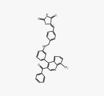 O=C1NC(=O)/C(=C/c2ccc(CNc3cccc(-c4c(C(=O)c5ccccc5)cnc5c(C(F)(F)F)cccc45)c3)cc2)S1